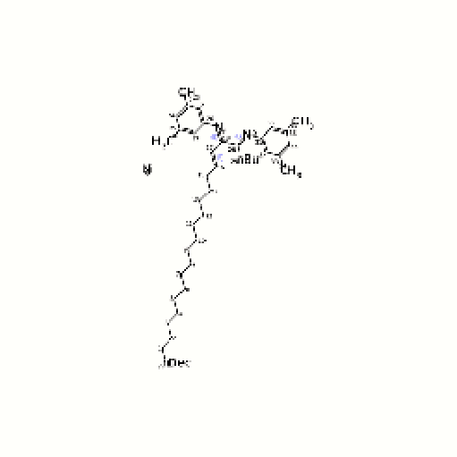 CCCCCCCCCCCCCCCCCCCCCCCCC/C=C/C(=N\c1cc(C)cc(C)c1)C(/CCCC)=N/c1cc(C)cc(C)c1.[Ni]